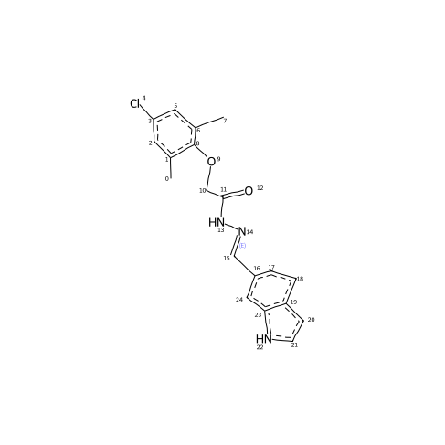 Cc1cc(Cl)cc(C)c1OCC(=O)N/N=C/c1ccc2cc[nH]c2c1